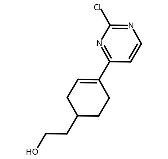 OCCC1CC=C(c2ccnc(Cl)n2)CC1